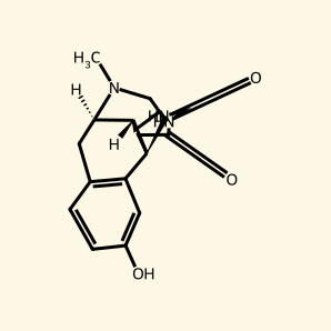 CN1CC[C@]23CC(=O)NC(=O)NCC[C@H]2[C@H]1Cc1ccc(O)cc13